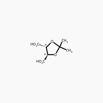 CC1(C)O[C@@H](C(=O)O)[C@H](C(=O)O)O1